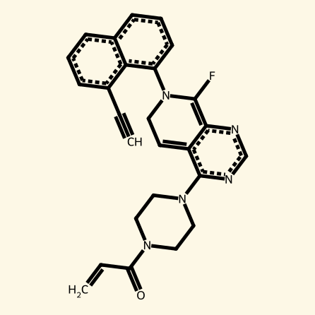 C#Cc1cccc2cccc(N3CC=c4c(N5CCN(C(=O)C=C)CC5)ncnc4=C3F)c12